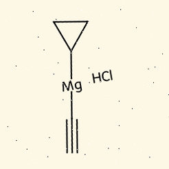 C#[C][Mg][CH]1CC1.Cl